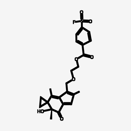 CC1=C(COCCOC(=O)c2ccc(S(=O)(=O)F)cc2)C2=C(C)C3(CC3)[C@@](C)(O)C(=O)C2=C1